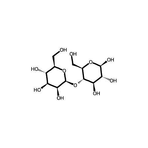 OC[C@H]1O[C@@H](O[C@H]2[C@H](O)[C@@H](O)[C@H](O)O[C@@H]2CO)[C@@H](O)[C@@H](O)[C@@H]1O